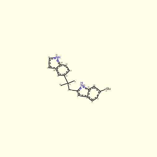 CC(C)(C)c1ccc2cc(CC(C)(C)c3ccc4[nH]ccc4c3)[nH]c2c1